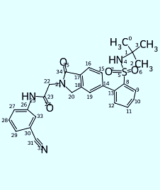 CC(C)(C)NS(=O)(=O)c1ccccc1-c1ccc2c(c1)CN(CC(=O)Nc1cccc(C#N)c1)C2=O